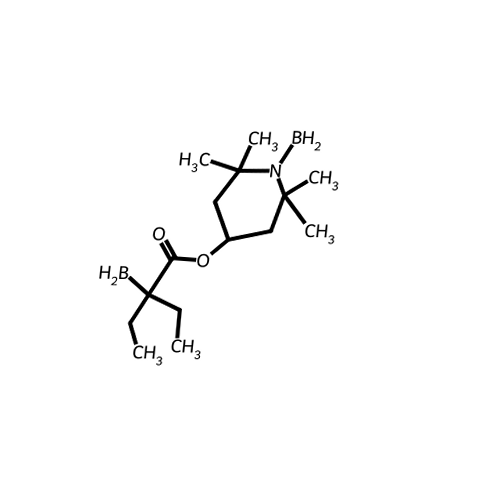 BN1C(C)(C)CC(OC(=O)C(B)(CC)CC)CC1(C)C